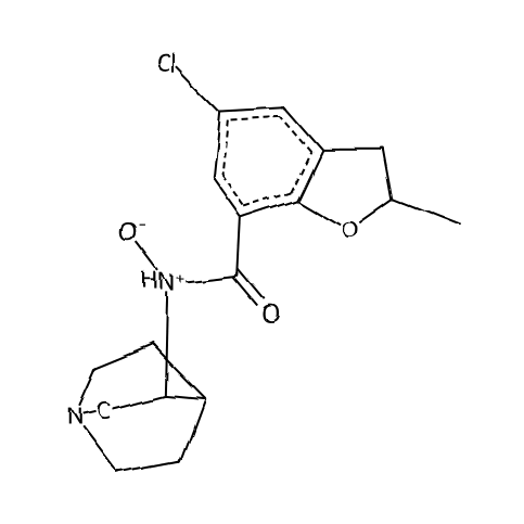 CC1Cc2cc(Cl)cc(C(=O)[NH+]([O-])C3CN4CCC3CC4)c2O1